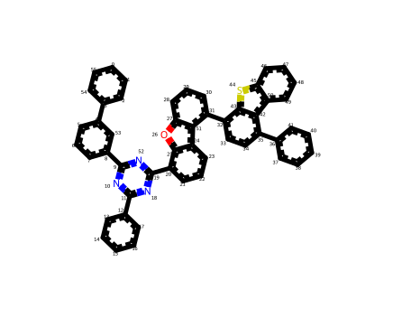 c1ccc(-c2cccc(-c3nc(-c4ccccc4)nc(-c4cccc5c4oc4cccc(-c6ccc(-c7ccccc7)c7c6sc6ccccc67)c45)n3)c2)cc1